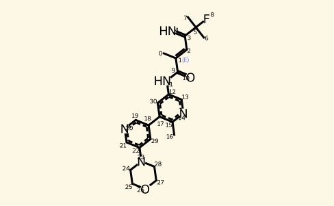 C/C(=C\C(=N)C(C)(C)F)C(=O)Nc1cnc(C)c(-c2cncc(N3CCOCC3)c2)c1